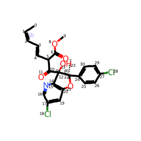 C/C=C\C=CC(C(=O)OC)C(=O)[C@@]1(O)c2ncc(Cl)cc2O[C@]1(C)c1ccc(Cl)cc1